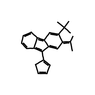 CC(C)=c1[c]c2c(cc1C(C)(C)C)=c1ccccc1=C2C1=CC=CC1